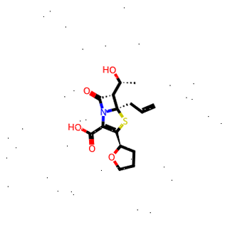 C=CC[C@]12SC([C@H]3CCCO3)=C(C(=O)O)N1C(=O)[C@@H]2[C@@H](C)O